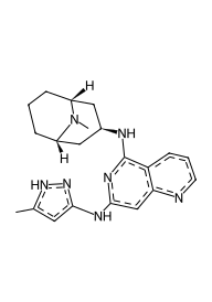 Cc1cc(Nc2cc3ncccc3c(N[C@@H]3C[C@H]4CCC[C@@H](C3)N4C)n2)n[nH]1